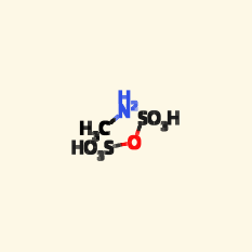 CN.O=S(=O)(O)OS(=O)(=O)O